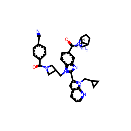 N#Cc1ccc(C(=O)N2CC(Cn3c(-c4cc5cccnc5n4CC4CC4)nc4cc(C(=O)N5CC6CCC5[C@@H]6N)ccc43)C2)cc1